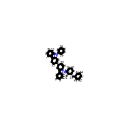 CCC1C(n2c3c(c4ccccc42)C[C@@H](C2=Cc4c(c5ccccc5n4-c4ccccc4)CC2)C=C3)=CCC[C@@H]1CC1C=C=CC=C1